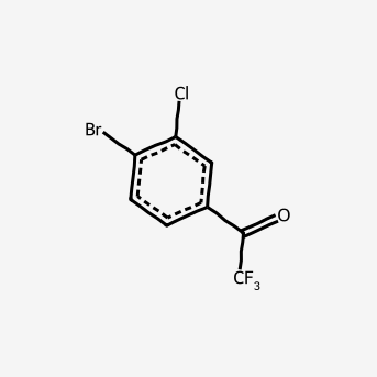 O=C(c1ccc(Br)c(Cl)c1)C(F)(F)F